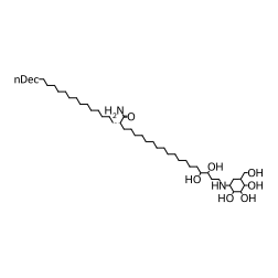 CCCCCCCCCCCCCCCCCCCCCCCC[C@@H](CCCCCCCCCCCCCCC(O)C(O)CCNC1CC(CO)C(O)C(O)C1O)C(N)=O